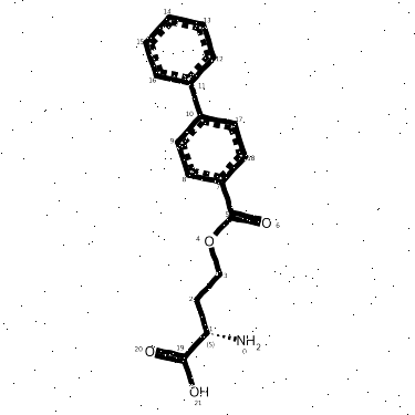 N[C@@H](CCOC(=O)c1ccc(-c2ccccc2)cc1)C(=O)O